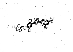 C[C@H](O)COc1cc(Cl)c(-c2noc(-c3cn4cc(C(F)(F)F)cc(Br)c4n3)n2)cc1Cl